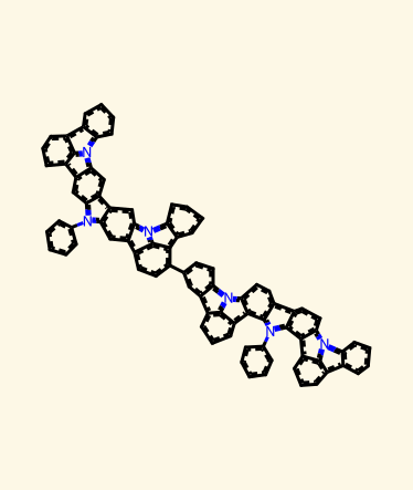 c1ccc(-n2c3cc4c5cccc6c7ccccc7n(c4cc3c3cc4c(cc32)c2ccc(-c3ccc7c(c3)c3cccc8c9c%10c(ccc9n7c38)c3ccc7c(c8cccc9c%11ccccc%11n7c98)c3n%10-c3ccccc3)c3c7ccccc7n4c23)c65)cc1